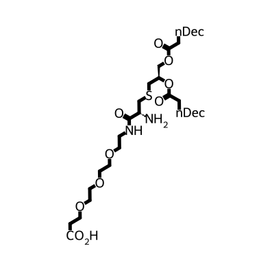 CCCCCCCCCCCC(=O)OC[C@H](CSC[C@H](N)C(=O)NCCOCCOCCOCCC(=O)O)OC(=O)CCCCCCCCCCC